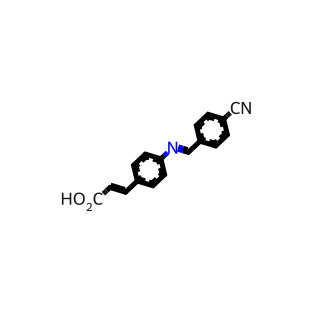 N#Cc1ccc(C=Nc2ccc(C=CC(=O)O)cc2)cc1